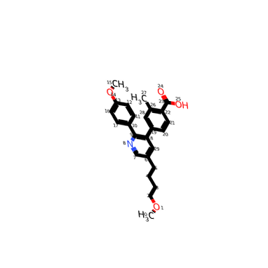 COCCCCc1cnc(-c2ccc(OC)cc2)c(-c2ccc(C(=O)O)c(C)c2)c1